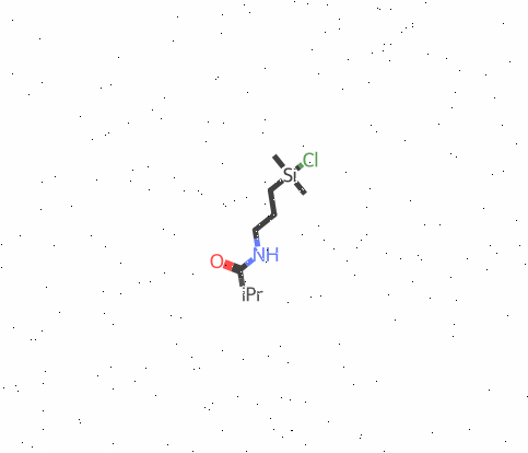 CC(C)C(=O)NCCC[Si](C)(C)Cl